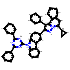 c1ccc(-c2nc(-c3ccccc3)nc(-n3c4ccccc4c4cc(-c5nn6c(C7CC7)cc7ccccc7c6c5-c5ccccc5)ccc43)n2)cc1